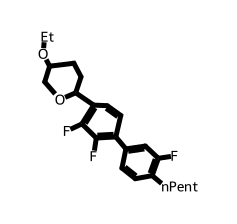 CCCCCc1ccc(-c2ccc(C3CCC(OCC)CO3)c(F)c2F)cc1F